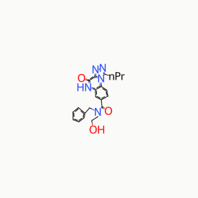 CCCc1nnc2c(=O)[nH]c3cc(C(=O)N(CCO)Cc4ccccc4)ccc3n12